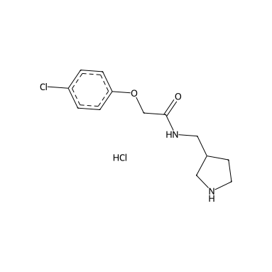 Cl.O=C(COc1ccc(Cl)cc1)NCC1CCNC1